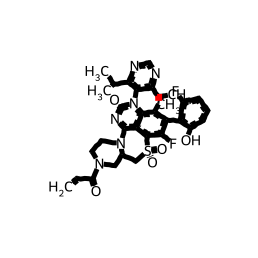 C=CC(=O)N1CCN2c3nc(=O)n(-c4c(C(C)C)ncnc4C(C)C)c4c(F)c(-c5c(O)cccc5F)c(F)c(c34)S(=O)(=O)CC2C1